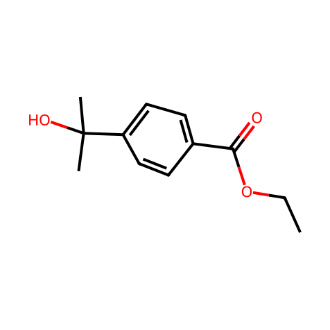 CCOC(=O)c1ccc(C(C)(C)O)cc1